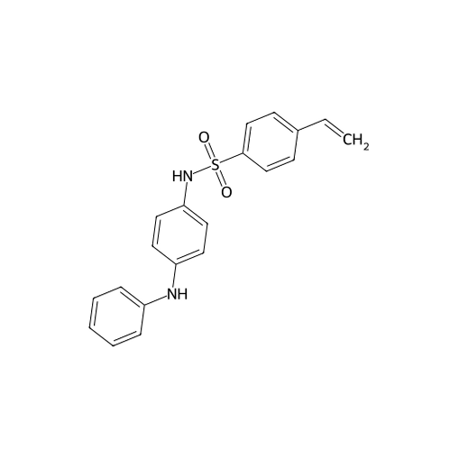 C=Cc1ccc(S(=O)(=O)Nc2ccc(Nc3ccccc3)cc2)cc1